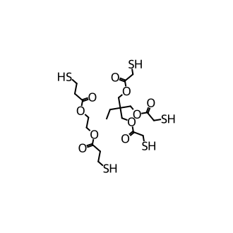 CCC(COC(=O)CS)(COC(=O)CS)COC(=O)CS.O=C(CCS)OCCOC(=O)CCS